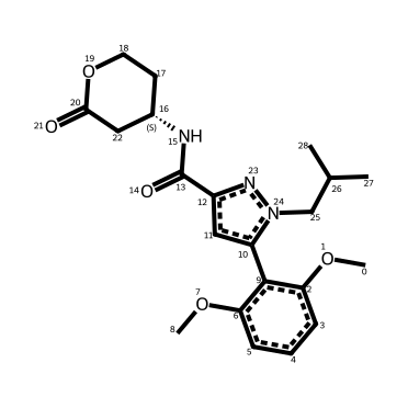 COc1cccc(OC)c1-c1cc(C(=O)N[C@H]2CCOC(=O)C2)nn1CC(C)C